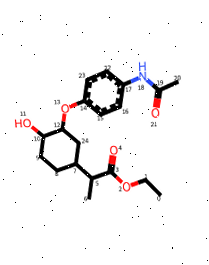 CCOC(=O)C(C)C1CCC(O)C(Oc2ccc(NC(C)=O)cc2)C1